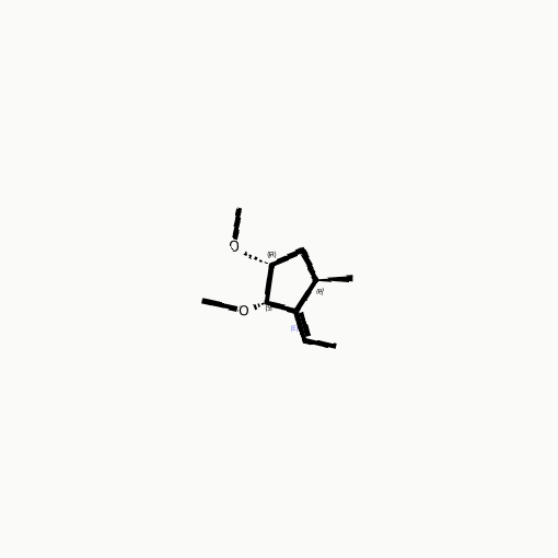 C/C=C1\[C@H](C)C[C@@H](OC)[C@H]1OC